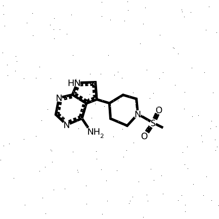 CS(=O)(=O)N1CCC(c2c[nH]c3ncnc(N)c23)CC1